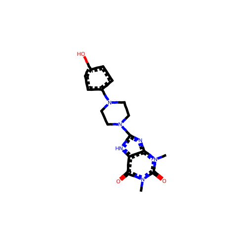 Cn1c(=O)c2[nH]c(N3CCN(c4ccc(O)cc4)CC3)nc2n(C)c1=O